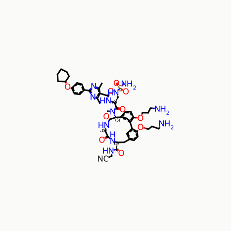 Cc1nc(-c2ccc(OC3CCCCC3)cc2)nc(C)c1C(=O)N[C@@H](CNS(N)(=O)=O)C(=O)N(C)[C@@H]1C(=O)N[C@@H](C)C(=O)N[C@H](C(=O)NCC#N)Cc2ccc(OCCCN)c(c2)-c2cc1ccc2OCCCN